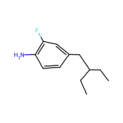 CCC(CC)Cc1ccc(N)c(F)c1